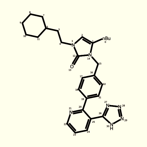 CCCCc1cn(CCC2CCCCC2)c(=O)n1Cc1ccc(-c2ncccc2-c2nnn[nH]2)cc1